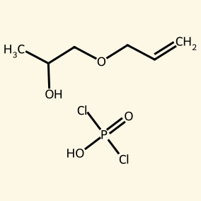 C=CCOCC(C)O.O=P(O)(Cl)Cl